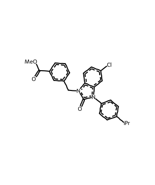 COC(=O)c1cccc(Cn2c(=O)n(-c3ccc(C(C)C)cc3)c3cc(Cl)ccc32)c1